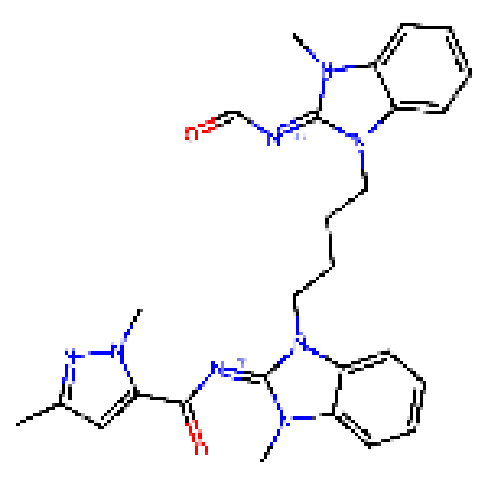 Cc1cc(C(=O)/N=c2\n(C)c3ccccc3n2CCCCn2/c(=N/C=O)n(C)c3ccccc32)n(C)n1